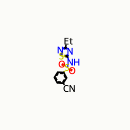 CCc1nsc(NS(=O)(=O)c2cccc(C#N)c2)n1